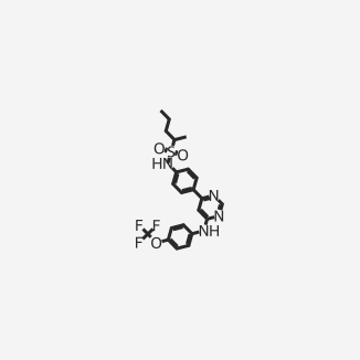 CCCC(C)S(=O)(=O)Nc1ccc(-c2cc(Nc3ccc(OC(F)(F)F)cc3)ncn2)cc1